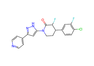 O=C1C(F)C(c2ccc(Cl)c(F)c2)CCN1c1cc(-c2ccncc2)n[nH]1